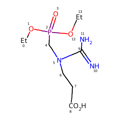 CCOP(=O)(CN(CCC(=O)O)C(=N)N)OCC